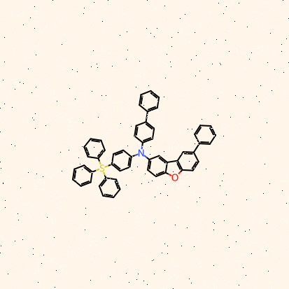 c1ccc(-c2ccc(N(c3ccc(S(c4ccccc4)(c4ccccc4)c4ccccc4)cc3)c3ccc4oc5ccc(-c6ccccc6)cc5c4c3)cc2)cc1